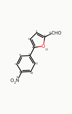 O=Cc1ccc(-c2ccc([N+](=O)[O-])cc2)o1